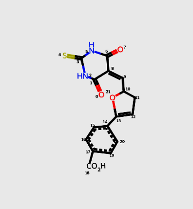 O=C1NC(=S)NC(=O)C1=CC1CC=C(c2ccc(C(=O)O)cc2)O1